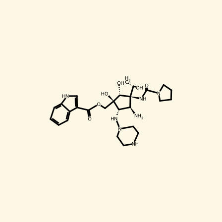 C[C@H](O)[C@]1(NC(=O)N2CCCC2)[C@@H](N)[C@H](NN2CCNCC2)[C@](O)(COC(=O)c2c[nH]c3ccccc23)[C@@H]1O